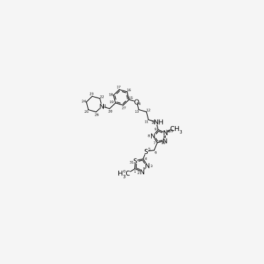 Cc1nnc(SCc2nc(NCCCOc3cccc(CN4CCCCC4)c3)n(C)n2)s1